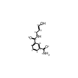 NC(=O)c1cccc(C(=O)NCC=CO)c1